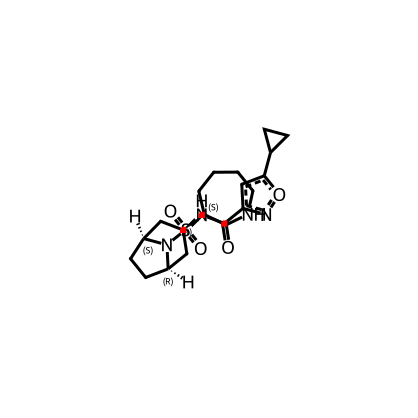 O=C(N[C@H]1C[C@H]2CC[C@@H](C1)N2S(=O)(=O)[C@H]1CCCCNC1)c1cc(C2CC2)on1